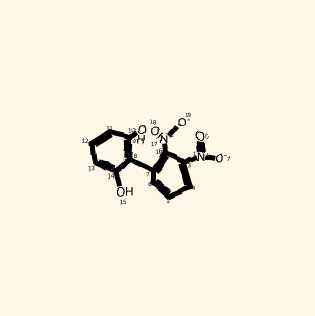 O=[N+]([O-])c1cccc(-c2c(O)cccc2O)c1[N+](=O)[O-]